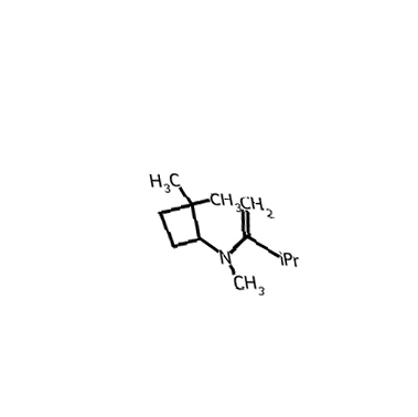 C=C(C(C)C)N(C)C1CCC1(C)C